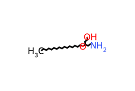 CCCCCCCCCCCCCCCCOC(CCN)CCO